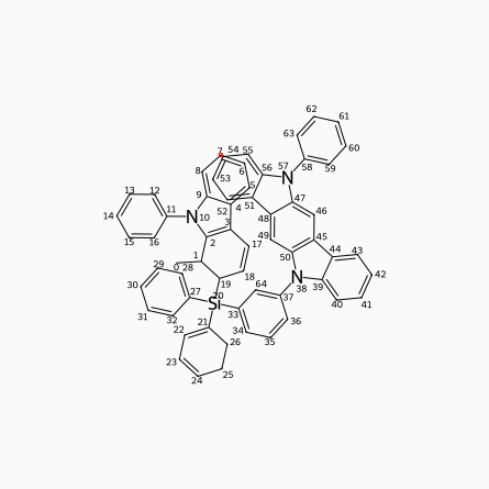 CC1c2c(c3ccccc3n2-c2ccccc2)C=CC1[Si](C1=CC=CCC1)(c1ccccc1)c1cccc(-n2c3ccccc3c3cc4c(cc32)c2ccccc2n4-c2ccccc2)c1